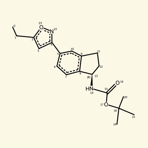 CCc1cc(-c2ccc3c(c2)CC[C@H]3NC(=O)OC(C)(C)C)no1